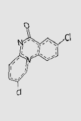 O=c1nc2ccc(Cl)cn2c2ccc(Cl)cc12